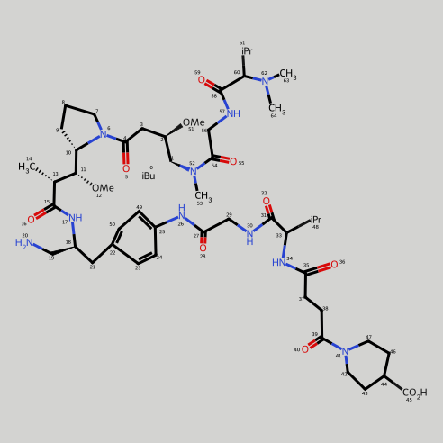 CC[C@H](C)[C@@H]([C@@H](CC(=O)N1CCC[C@H]1[C@H](OC)[C@@H](C)C(=O)N[C@H](CN)Cc1ccc(NC(=O)CNC(=O)C(NC(=O)CCC(=O)N2CCC(C(=O)O)CC2)C(C)C)cc1)OC)N(C)C(=O)CNC(=O)C(C(C)C)N(C)C